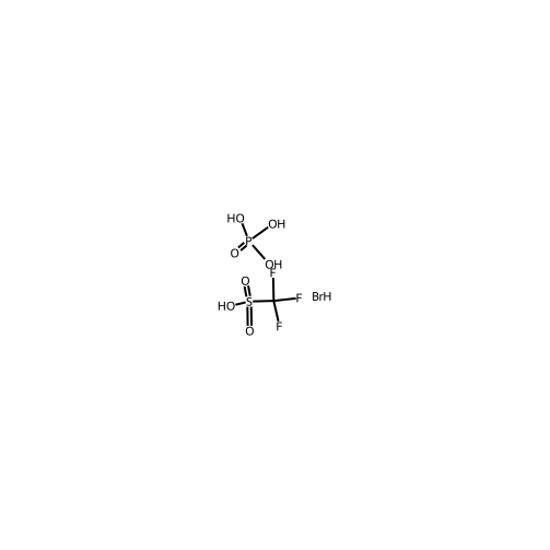 Br.O=P(O)(O)O.O=S(=O)(O)C(F)(F)F